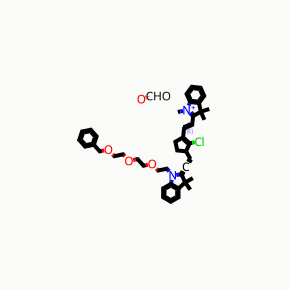 C[N+]1=C(/C=C/C2=C(Cl)C(C=C=C3N(CCOCCOCCOCc4ccccc4)c4ccccc4C3(C)C)CC2)C(C)(C)c2ccccc21.O=C[O-]